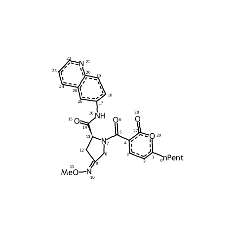 CCCCCc1ccc(C(=O)N2C/C(=N/OC)C[C@H]2C(=O)Nc2ccc3ncccc3c2)c(=O)o1